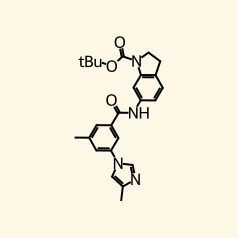 Cc1cc(C(=O)Nc2ccc3c(c2)N(C(=O)OC(C)(C)C)CC3)cc(-n2cnc(C)c2)c1